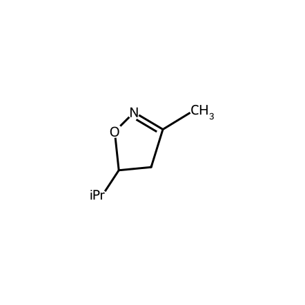 CC1=NOC(C(C)C)C1